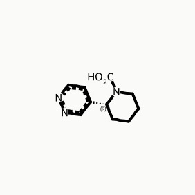 O=C(O)N1CCCC[C@@H]1c1ccnnc1